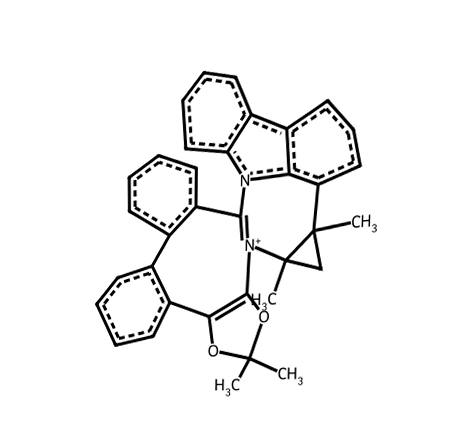 CC1(C)OC2=C(O1)[N+]1=C(c3ccccc3-c3ccccc32)n2c3ccccc3c3cccc(c32)C2(C)CC12C